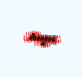 CC(=O)N[C@H]1[C@@H](O[C@H]2[C@@H](O)[C@@H](CO)O[C@@H](O[C@H]3[C@H](O)[C@@H](CO)O[C@@H](O[C@H]4[C@@H](O)[C@@H](CO[C@@H]5O[C@H](CO)[C@@H](O)[C@H](O)[C@H]5NC(C)=O)O[C@@H](O[C@H]5[C@H](O)[C@@H](CO)O[C@@H](O[C@H]6[C@@H](O)[C@@H](CO)O[C@@H](O[C@H]7[C@H](O)[C@@H](O)[C@H](O)O[C@@H]7CO)[C@@H]6O)[C@@H]5NC(C)=O)[C@@H]4O)[C@@H]3NC(C)=O)[C@@H]2O[C@@H]2O[C@@H](C)[C@@H](O)[C@@H](O)[C@@H]2O)O[C@H](CO)[C@H](O)[C@@H]1O